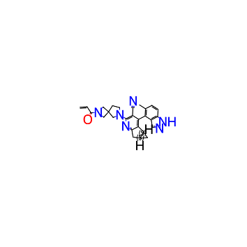 C=CC(=O)N1CC2(CCN(c3nc4c(c(-c5c(C)ccc6[nH]ncc56)c3C#N)[C@H]3C[C@H]3C4)C2)C1